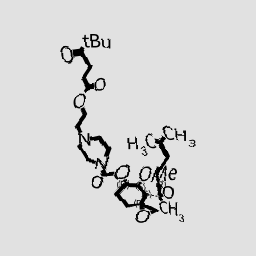 CO[C@H]1[C@H](C2(C)O[C@@H]2CC=C(C)C)[C@]2(CC[C@H]1OC(=O)N1CCN(CCOC(=O)CCC(=O)C(C)(C)C)CC1)CO2